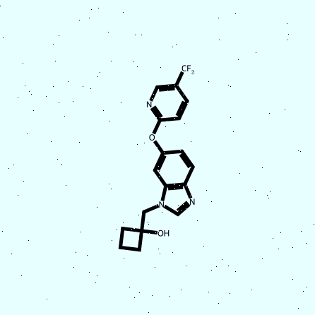 OC1(Cn2cnc3ccc(Oc4ccc(C(F)(F)F)cn4)cc32)CCC1